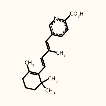 CC1=C(/C=C/C(C)=C/c2ccc(C(=O)O)nc2)C(C)(C)CCC1